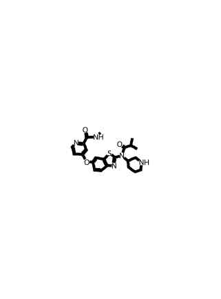 CNC(=O)c1cc(Oc2ccc3nc(N(C(=O)C(C)C)C4CCCNC4)sc3c2)ccn1